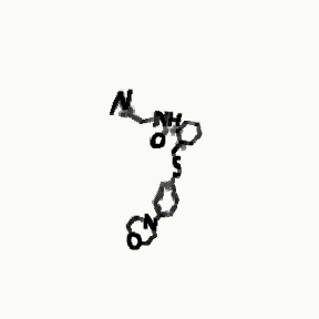 N#CCNC(=O)[C@@H]1CCCC[C@H]1CSc1ccc(N2CCOCC2)cc1